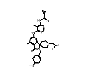 COc1ccc(CN2C(=O)c3c(C)cc(Nc4ncnc(NC(=O)C5CC5)c4C)cc3C23CCN(CC(F)F)CC3)cc1